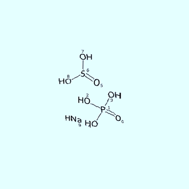 O=P(O)(O)O.O=S(O)O.[NaH]